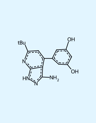 CC(C)(C)c1cc(-c2cc(O)cc(O)c2)c2c(N)n[nH]c2n1